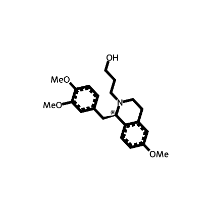 COc1ccc2c(c1)CCN(CCCO)[C@@H]2Cc1ccc(OC)c(OC)c1